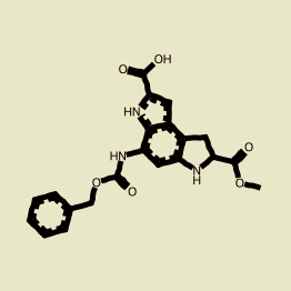 COC(=O)C1Cc2c(cc(NC(=O)OCc3ccccc3)c3[nH]c(C(=O)O)cc23)N1